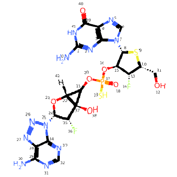 Nc1nc2c(ncn2[C@@H]2S[C@H](CO)[C@H](F)[C@H]2OP(=O)(S)OC2[C@H]3O[C@@H](n4nnc5c(N)ncnc54)[C@@H](F)[C@@]23O)c(=O)[nH]1